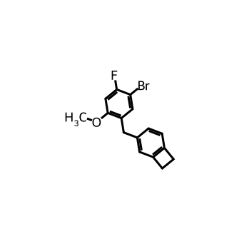 COc1cc(F)c(Br)cc1Cc1ccc2c(c1)CC2